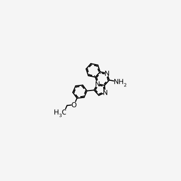 CCOc1cccc(-c2cnc3c(N)nc4ccccc4n23)c1